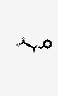 NC(=O)C#CC(=O)OCc1ccccc1